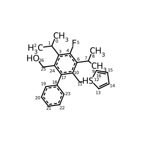 CC(C)c1c(F)c(C(C)C)c(C[SH]2C=CC=C2)c(-c2ccccc2)c1CO